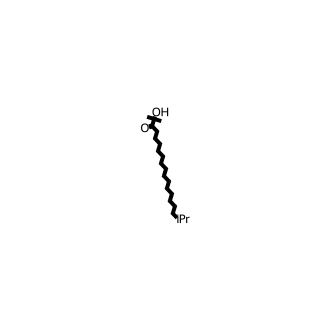 CC(C)CCCCCCCCCCCCCCC(=O)C(C)(C)O